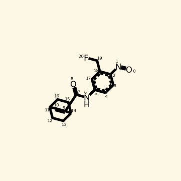 O=Nc1ccc(NC(=O)C2=CC3CCC2CC3)cc1CF